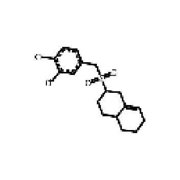 O=S(=O)(Cc1ccc(Cl)c(Cl)c1)C1CCC2CCCC=C2C1